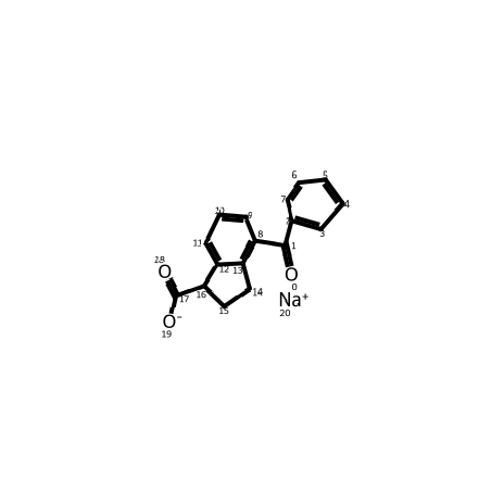 O=C(c1ccccc1)c1cccc2c1CCC2C(=O)[O-].[Na+]